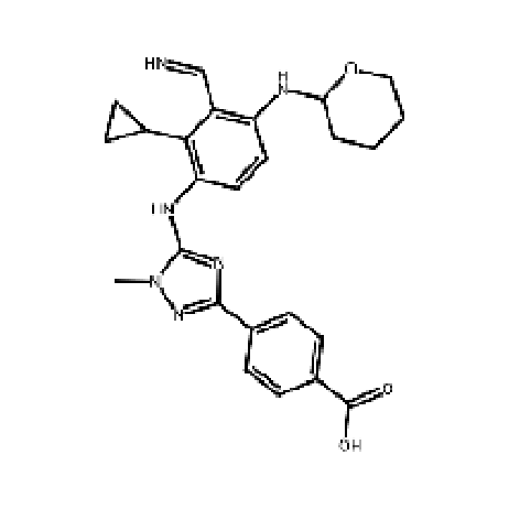 Cn1nc(-c2ccc(C(=O)O)cc2)nc1Nc1ccc(NC2CCCCO2)c(C=N)c1C1CC1